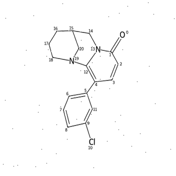 O=c1ccc(-c2cccc(Cl)c2)c2n1CC1CCCN2C1